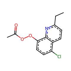 CCc1ccc2c(Cl)ccc(OOC(C)=O)c2n1